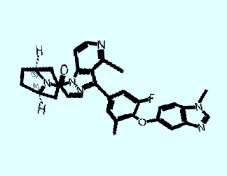 C=CC(=O)N1[C@@H]2CC[C@H]1CC(n1nc(-c3cc(C)c(Oc4ccc5c(c4)ncn5C)c(F)c3)c3c(C)nccc31)C2